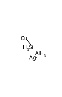 [Ag].[AlH3].[SiH3][Cu]